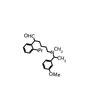 COc1cccc(C(C)N(C)CCCCC(C=O)c2ccccc2C(C)C)c1